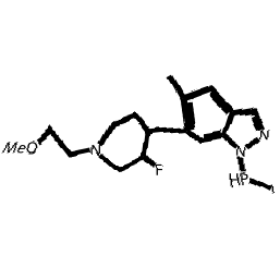 COCCN1CCC(c2cc3c(cnn3PI)cc2C)C(F)C1